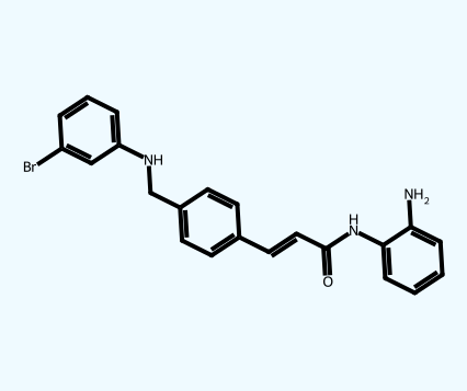 Nc1ccccc1NC(=O)C=Cc1ccc(CNc2cccc(Br)c2)cc1